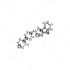 OC(CN1CCN(N2CCOCC2)CC1)Cn1cnc2ccccc21